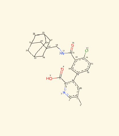 Cc1cnc(C(=O)O)c(-c2ccc(Cl)c(C(=O)NCC34CC5CC(CC(C5)C3)C4)c2)c1